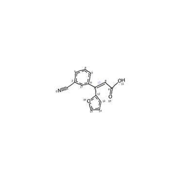 N#Cc1cccc(/C(=C/C(=O)O)c2ccco2)c1